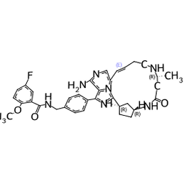 COc1ccc(F)cc1C(=O)NCc1ccc(-c2nc3n4c(cnc(N)c24)/C=C/CCN[C@H](C)CC(=O)N[C@@H]2CC[C@@H]3C2)cc1